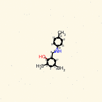 Bc1cc(B)c(O)c(CNc2ccc(C)cc2)c1